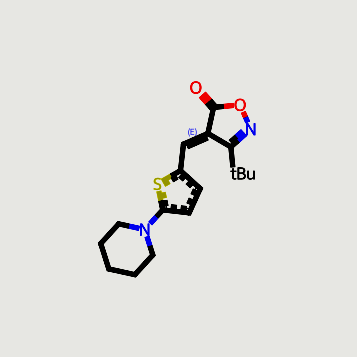 CC(C)(C)C1=NOC(=O)/C1=C/c1ccc(N2CCCCC2)s1